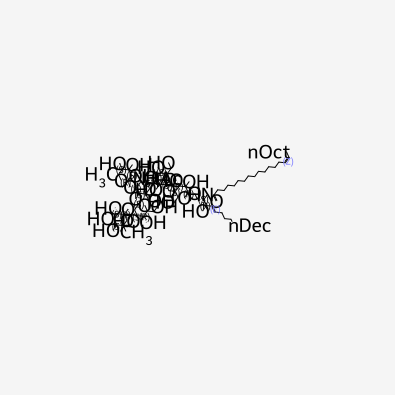 CCCCCCCC/C=C\CCCCCCCCCCCCCC(=O)N[C@@H](CO[C@@H]1OC(CO)[C@@H](O[C@@H]2OC(CO)[C@H](O)[C@H](O[C@@H]3OC(CO)[C@@H](O[C@@H]4OC(CO)[C@H](O)[C@H](O)C4O[C@H]4OC(C)[C@@H](O)C(O)[C@@H]4O)[C@H](O[C@H]4OC(C)[C@@H](O)C(O)[C@@H]4O)C3NC(C)=O)C2O)[C@H](O)C1O)[C@H](O)/C=C/CCCCCCCCCCCCC